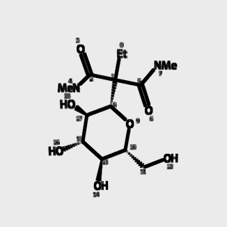 CCC(C(=O)NC)(C(=O)NC)[C@@H]1O[C@H](CO)[C@@H](O)[C@H](O)[C@H]1O